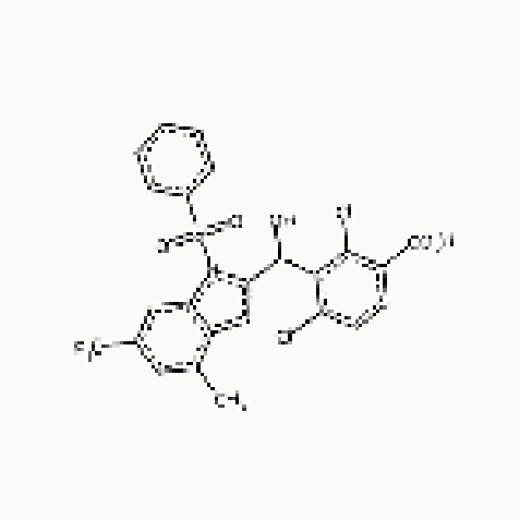 Cc1cc(C(F)(F)F)cc2c1cc(C(O)c1c(Cl)ccc(C(=O)O)c1Cl)n2S(=O)(=O)c1ccccc1